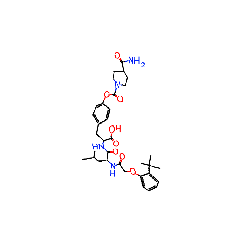 CC(C)C[C@H](NC(=O)COc1ccccc1C(C)(C)C)C(=O)N[C@@H](Cc1ccc(OC(=O)N2CCC(C(N)=O)CC2)cc1)C(=O)O